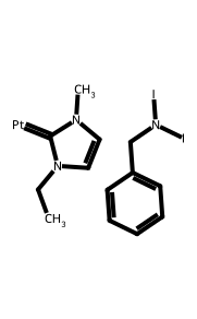 CCn1ccn(C)[c]1=[Pt].IN(I)Cc1ccccc1